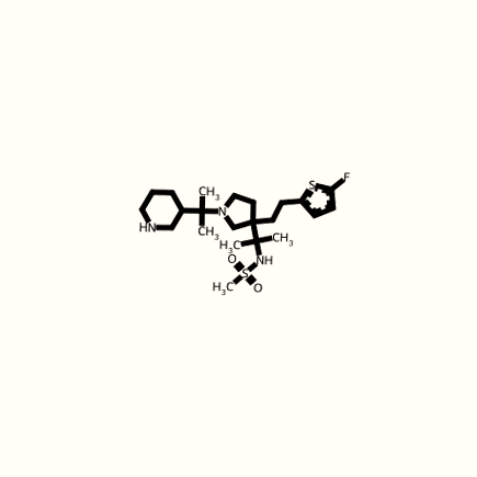 CC(C)(C1CCCNC1)N1CCC(CCc2ccc(F)s2)(C(C)(C)NS(C)(=O)=O)C1